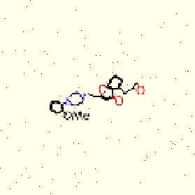 COc1ccccc1N1CCN(CCc2cc(=O)c3c(CC4CO4)cccc3o2)CC1